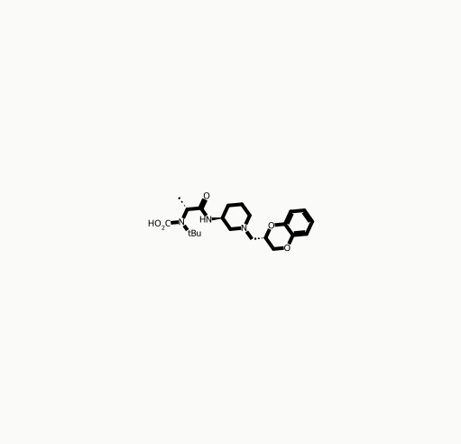 C[C@H](C(=O)N[C@H]1CCCN(C[C@H]2COc3ccccc3O2)C1)N(C(=O)O)C(C)(C)C